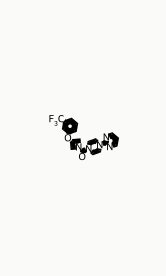 O=C(N1CCN(c2ncccn2)CC1)N1CC(Oc2cccc(C(F)(F)F)c2)C1